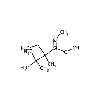 CCC(C)([SiH](OC)OC)C(C)(C)C